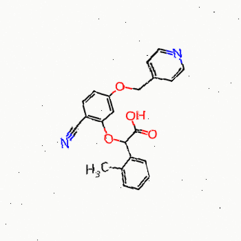 Cc1ccccc1C(Oc1cc(OCc2ccncc2)ccc1C#N)C(=O)O